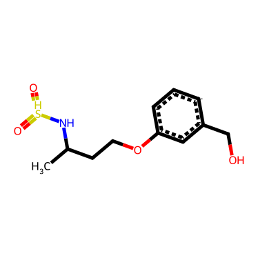 CC(CCOc1cc[c]c(CO)c1)N[SH](=O)=O